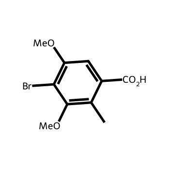 COc1cc(C(=O)O)c(C)c(OC)c1Br